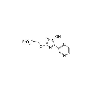 CCOC(=O)COc1nc(-c2cnccn2)n(O)n1